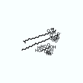 CCC(NC(=O)CCCCCCCCCCCCCCC(C)C)N(C)C.CCCCCCCCCCCCCCCCCCOC(=O)C(CC(=O)[O-])S(=O)(=O)[O-].O=C(O)[C@H](O)[C@@H](O)[C@H](O)[C@H](O)CO.[Na+].[Na+]